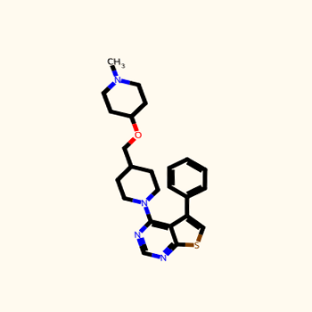 CN1CCC(OCC2CCN(c3ncnc4scc(-c5ccccc5)c34)CC2)CC1